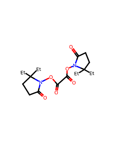 CCC1(CC)CCC(=O)N1OC(=O)C(=O)ON1C(=O)CCC1(CC)CC